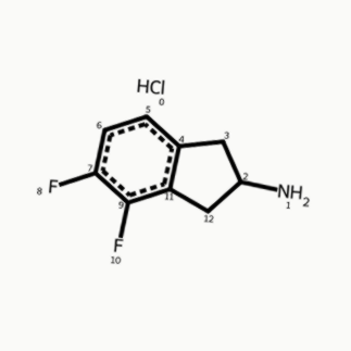 Cl.NC1Cc2ccc(F)c(F)c2C1